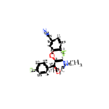 CN(C)C=C(Oc1cc(C#N)ccc1F)C(=O)c1ccc(F)cc1